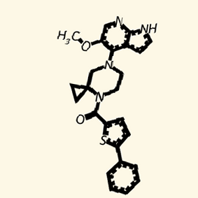 COc1cnc2[nH]ccc2c1N1CCN(C(=O)c2ccc(-c3ccccc3)s2)C2(CC2)C1